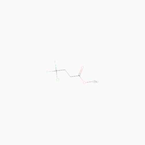 CC(C)(C)OC(=O)CCC(F)(F)Cl